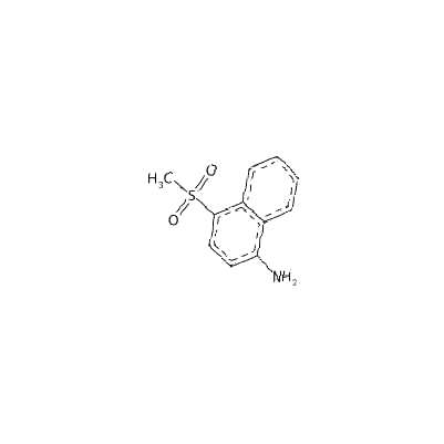 CS(=O)(=O)c1ccc(N)c2ccccc12